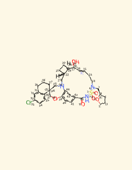 O=C1NS(=O)(=O)N(C[C@H]2CCCO2)CC/C=C/[C@H](O)[C@@H]2CC[C@H]2CN2C[C@@]3(CCCc4cc(Cl)ccc43)COc3ccc1cc32